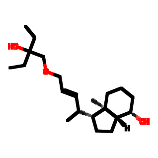 CCC(O)(CC)COC/C=C/C(C)[C@H]1CC[C@H]2[C@@H](O)CCC[C@]12C